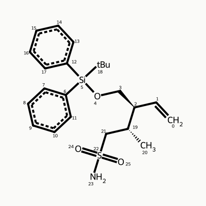 C=C[C@H](CO[Si](c1ccccc1)(c1ccccc1)C(C)(C)C)[C@H](C)CS(N)(=O)=O